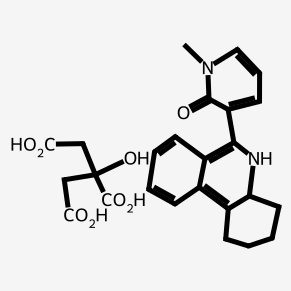 Cn1cccc(C2=c3ccccc3=C3CCCCC3N2)c1=O.O=C(O)CC(O)(CC(=O)O)C(=O)O